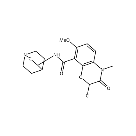 COc1ccc2c(c1C(=O)NC1CN3CCC1CC3)OC(Cl)C(=O)N2C